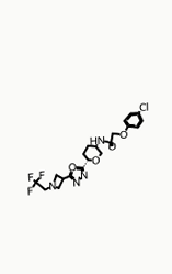 O=C(COc1ccc(Cl)cc1)N[C@@H]1CC[C@@H](c2nnc(C3CN(CC(F)(F)F)C3)o2)OC1